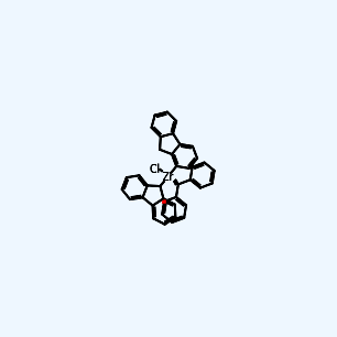 [Cl][Zr](=[C](c1ccccc1)c1ccccc1)([c]1cccc2c1Cc1ccccc1-2)[CH]1c2ccccc2-c2ccccc21